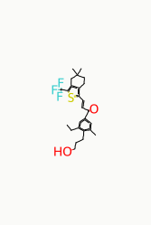 CCc1cc(C(=O)C=Cc2sc(C(F)(F)F)c3c2CCC(C)(C)C3)cc(C)c1CCCO